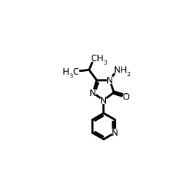 CC(C)c1nn(-c2cccnc2)c(=O)n1N